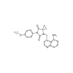 Nc1cccc2nccc(CN3C(=O)N(c4ccc(OC(F)(F)F)cc4)C(=O)C34CC4)c12